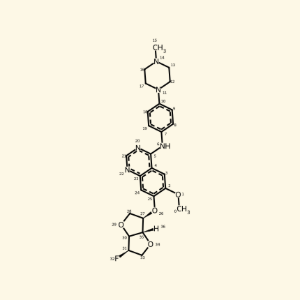 COc1cc2c(Nc3ccc(N4CCN(C)CC4)cc3)ncnc2cc1O[C@@H]1COC2[C@H](F)CO[C@H]21